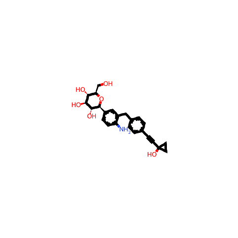 Nc1ccc([C@@H]2O[C@H](CO)[C@@H](O)[C@H](O)[C@H]2O)cc1Cc1ccc(C#CC2(O)CC2)cc1